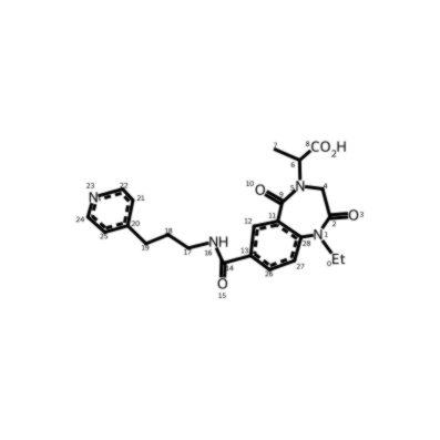 CCN1C(=O)CN(C(C)C(=O)O)C(=O)c2cc(C(=O)NCCCc3ccncc3)ccc21